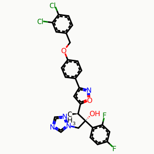 C[C@@H](c1cc(-c2ccc(OCc3ccc(Cl)c(Cl)c3)cc2)no1)[C@](O)(Cn1cncn1)c1ccc(F)cc1F